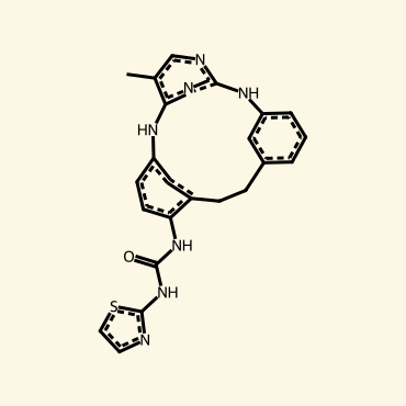 Cc1cnc2nc1Nc1ccc(NC(=O)Nc3nccs3)c(c1)CCc1cccc(c1)N2